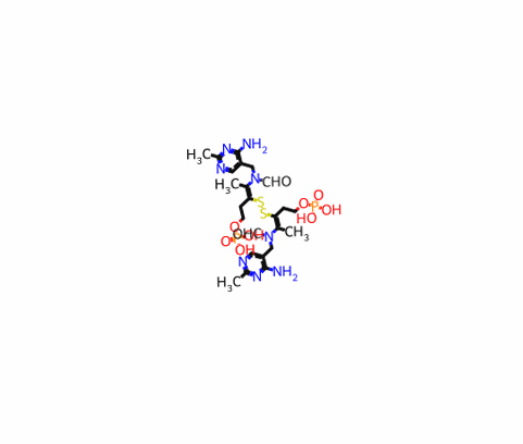 C/C(=C(\CCOP(=O)(O)O)SS/C(CCOP(=O)(O)O)=C(/C)N(C=O)Cc1cnc(C)nc1N)N(C=O)Cc1cnc(C)nc1N